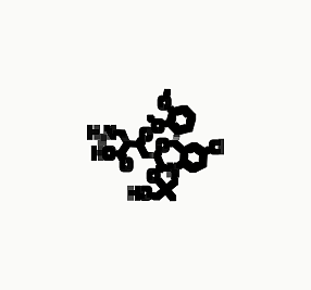 COc1cccc([C@H]2O[C@H](CC(=O)[C@H](CN)C(=O)O)C(=O)N(CC(C)(C)CO)c3ccc(Cl)cc32)c1OC